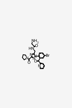 NCC(=O)NCc1nc(C(=O)N2CCCC2)nn1-c1ccc(Br)cc1C(=O)c1ccccn1